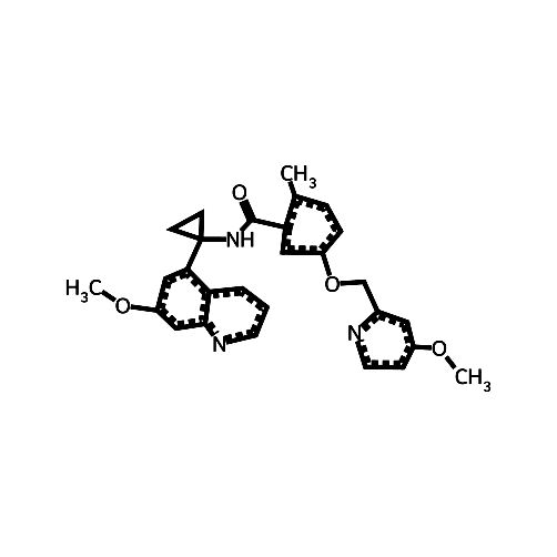 COc1ccnc(COc2ccc(C)c(C(=O)NC3(c4cc(OC)cc5ncccc45)CC3)c2)c1